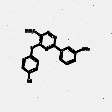 CCOC(=O)c1nnc(-c2cccc(OC)c2)nc1Oc1ccc(C#N)cc1